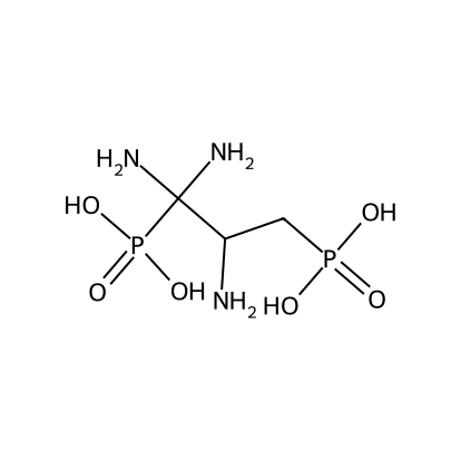 NC(CP(=O)(O)O)C(N)(N)P(=O)(O)O